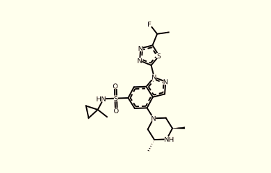 CC(F)c1nnc(-n2ncc3c(N4C[C@@H](C)N[C@H](C)C4)cc(S(=O)(=O)NC4(C)CC4)cc32)s1